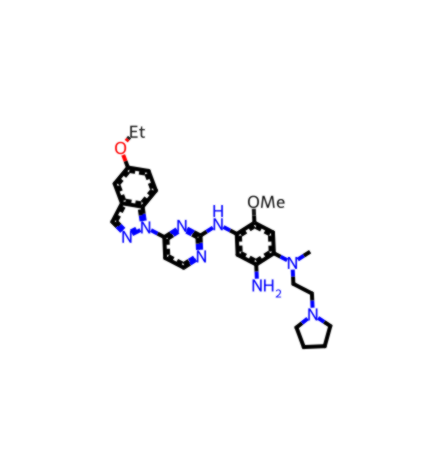 CCOc1ccc2c(cnn2-c2ccnc(Nc3cc(N)c(N(C)CCN4CCCC4)cc3OC)n2)c1